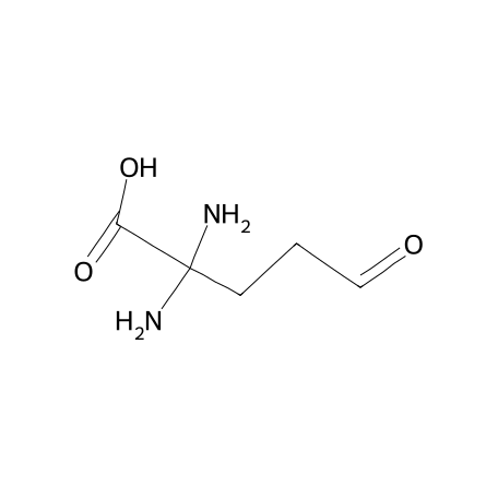 NC(N)(CCC=O)C(=O)O